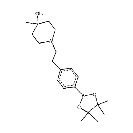 CC1(O)CCN(CCc2ccc(B3OC(C)(C)C(C)(C)O3)cc2)CC1